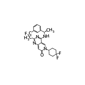 Cc1nc(N[C@H](C)c2cccc(C(F)(F)F)c2)c2cn(C3CCC(F)(F)CC3)c(=O)cc2n1